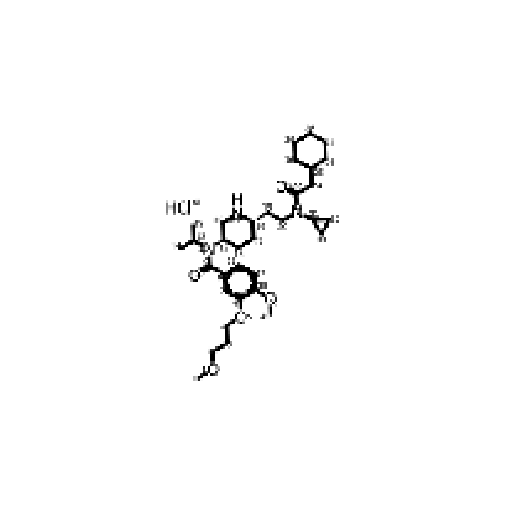 COCCCOc1cc(C(=O)N(C(C)C)[C@@H]2CC[C@H](CCN(C(=O)CC3CCCCC3)C3CC3)NC2)ccc1OC.Cl